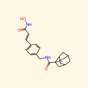 O=C(C=Cc1ccc(CNC(=O)C23CC4CC(CC2C4)C3)cc1)NO